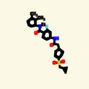 CCN(C(=O)c1ccc(NC(=O)Cc2ccc(S(=O)(=O)CC3CC3)cc2)cc1F)c1cccc(C)c1C